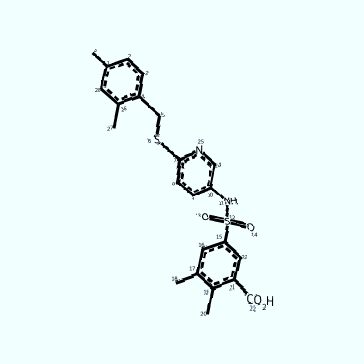 Cc1ccc(CSc2ccc(NS(=O)(=O)c3cc(C)c(C)c(C(=O)O)c3)cn2)c(C)c1